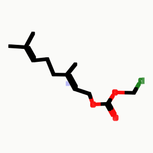 CC(C)=CCC/C(C)=C/COC(=O)OCCl